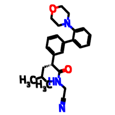 CC(C)C[C@@H](C(=O)NCC#N)c1cccc(-c2ccccc2N2CCOCC2)c1